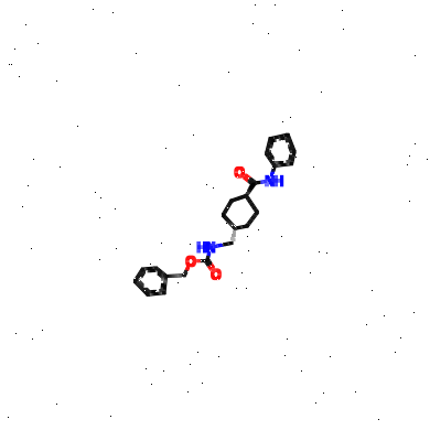 O=C(NC[C@H]1CC[C@H](C(=O)Nc2ccccc2)CC1)OCc1ccccc1